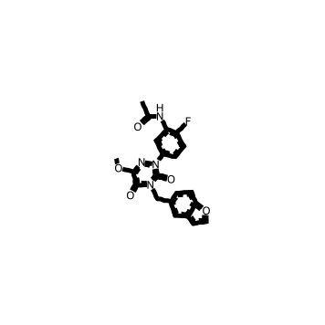 COc1nn(-c2ccc(F)c(NC(C)=O)c2)c(=O)n(Cc2ccc3occc3c2)c1=O